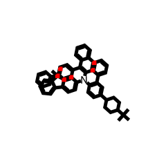 CC1(C)c2ccccc2-c2ccc(N(c3ccc(C4CCC(C(C)(C)C)CC4)cc3-c3ccccc3)c3ccc4ccccc4c3-c3ccc(-c4ccccc4)cc3)cc21